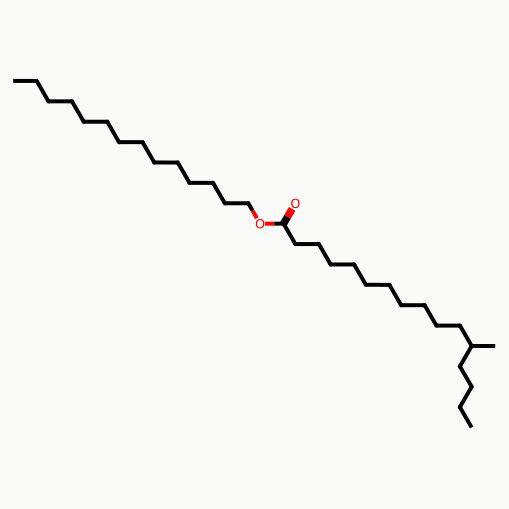 CCCCCCCCCCCCCCOC(=O)CCCCCCCCCCC(C)CCCC